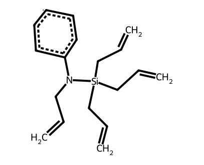 C=CCN(c1cc[c]cc1)[Si](CC=C)(CC=C)CC=C